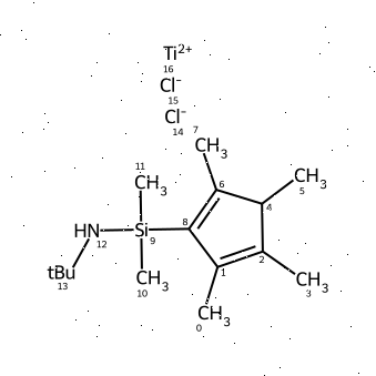 CC1=C(C)C(C)C(C)=C1[Si](C)(C)NC(C)(C)C.[Cl-].[Cl-].[Ti+2]